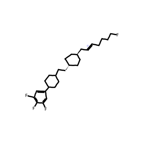 FCCCC/C=C/C[C@H]1CC[C@H](CCC2CCC(c3cc(F)c(F)c(F)c3)CC2)CC1